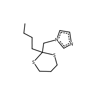 CCCCC1(Cn2ccnc2)SCCCS1